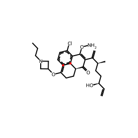 C=C[C@@H](O)CC[C@H](C)C(=C)/C(C(=O)[C@@H]1CC=C(OC2CN(CCC)C2)CC1)=C(\ON)c1ccccc1Cl